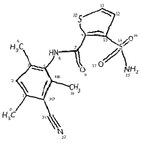 Cc1cc(C)c(NC(=O)c2sccc2S(N)(=O)=O)c(C)c1C#N